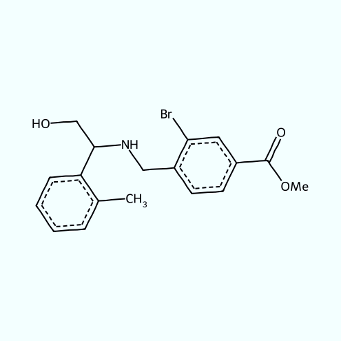 COC(=O)c1ccc(CNC(CO)c2ccccc2C)c(Br)c1